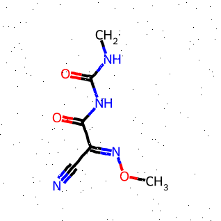 [CH2]NC(=O)NC(=O)C(C#N)=NOC